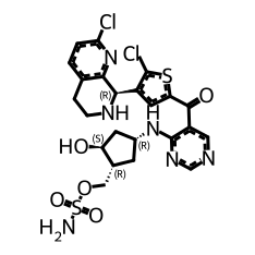 NS(=O)(=O)OC[C@H]1C[C@@H](Nc2ncncc2C(=O)c2cc([C@H]3NCCc4ccc(Cl)nc43)c(Cl)s2)C[C@@H]1O